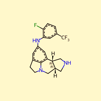 Fc1ccc(C(F)(F)F)cc1Nc1cc2c3c(c1)[C@@H]1CNC[C@@H]1CN3CC2